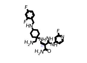 N=C(Nc1ccnc(F)c1)/C(=C\NC1(CN)CCC(NCc2ccc(F)cc2F)CC1)C(N)=O